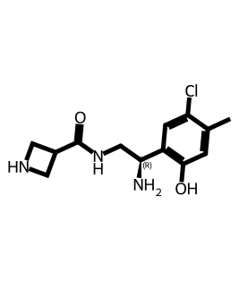 Cc1cc(O)c([C@@H](N)CNC(=O)C2CNC2)cc1Cl